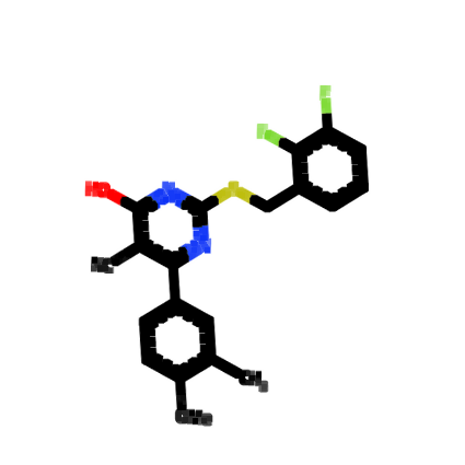 COc1ccc(-c2nc(SCc3cccc(F)c3F)nc(O)c2C#N)cc1C